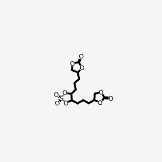 O=C1OCC(CCCC2OS(=O)(=O)OC2CCCC2COC(=O)O2)O1